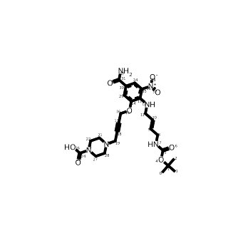 CC(C)(C)OC(=O)NC/C=C/CNc1c(OCC#CCN2CCN(C(=O)O)CC2)cc(C(N)=O)cc1[N+](=O)[O-]